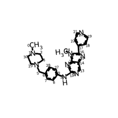 CN1CCN(Cc2ccc(Nc3ncc4nc(-c5ccncc5)n(C)c4n3)cc2)CC1